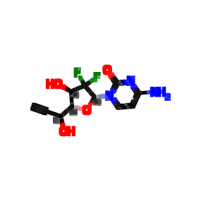 C#C[C@H](O)[C@H]1O[C@@H](n2ccc(N)nc2=O)C(F)(F)[C@@H]1O